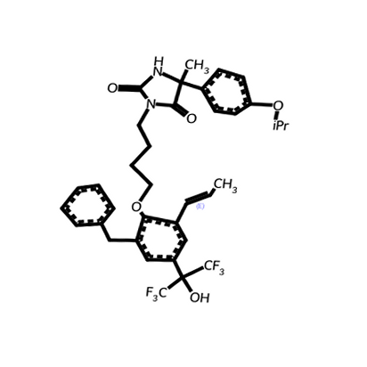 C/C=C/c1cc(C(O)(C(F)(F)F)C(F)(F)F)cc(Cc2ccccc2)c1OCCCCN1C(=O)NC(C)(c2ccc(OC(C)C)cc2)C1=O